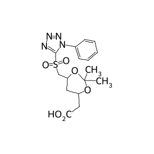 CC1(C)OC(CC(=O)O)CC(CS(=O)(=O)c2nnnn2-c2ccccc2)O1